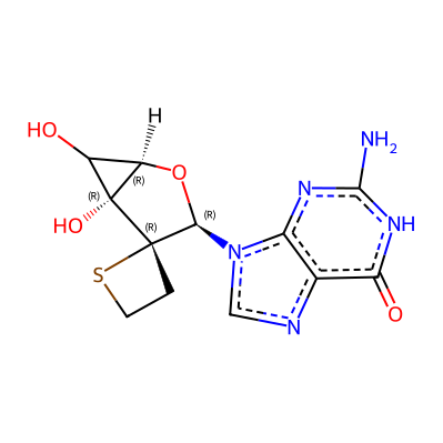 Nc1nc2c(ncn2[C@@H]2O[C@@H]3C(O)[C@]3(O)[C@]23CCS3)c(=O)[nH]1